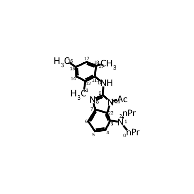 CCCN(CCC)c1cccc2nc(Nc3c(C)cc(C)cc3C)n(C(C)=O)c12